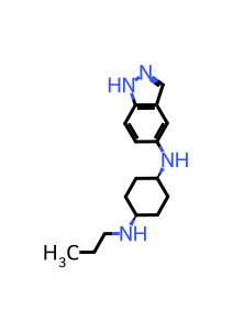 CCCN[C@H]1CC[C@@H](Nc2ccc3[nH]ncc3c2)CC1